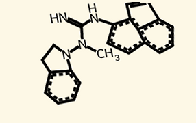 CN(C(=N)Nc1ccc2cccc3c2c1C=C3)N1CCc2ccccc21